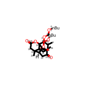 CCCCOCOC1C(C)CC[C@@]2(OCOCCCC)C13OC(=O)CC2(C)[C@@H]1CC(=O)C(C)=C13